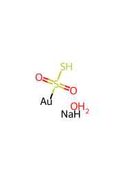 O.O=[S](=O)(S)[Au].[NaH]